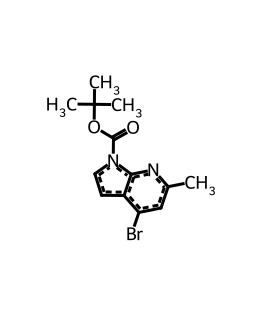 Cc1cc(Br)c2ccn(C(=O)OC(C)(C)C)c2n1